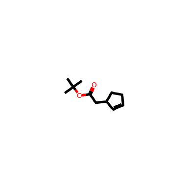 CC(C)(C)OC(=O)CC1C=CCC1